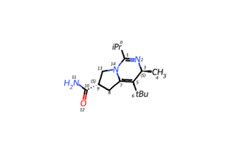 CC(C)C1=N[C@@H](C)C(C(C)(C)C)=C2C[C@H](C(N)=O)CN12